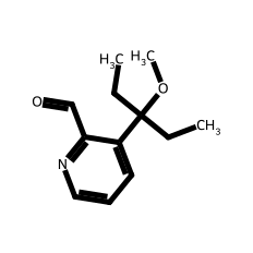 CCC(CC)(OC)c1cccnc1C=O